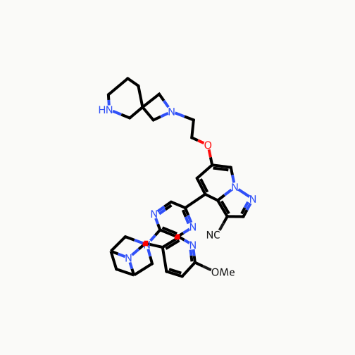 COc1ccc(CN2C3CC2CN(c2cnc(-c4cc(OCCN5CC6(CCCNC6)C5)cn5ncc(C#N)c45)cn2)C3)cn1